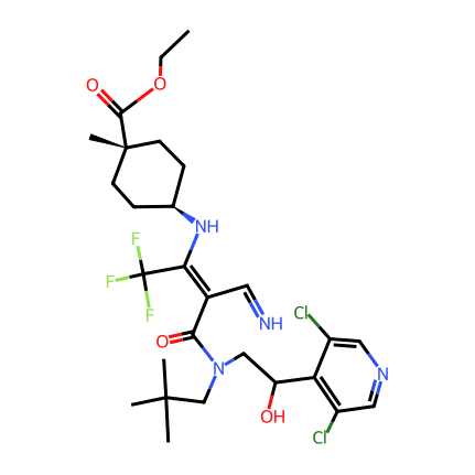 CCOC(=O)[C@]1(C)CC[C@@H](N/C(=C(\C=N)C(=O)N(CC(O)c2c(Cl)cncc2Cl)CC(C)(C)C)C(F)(F)F)CC1